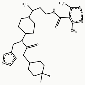 Cc1ncnc(C)c1C(=O)NCCC(C)N1CCC(N(Cc2ccsc2)C(=O)CC2CCC(F)(F)CC2)CC1